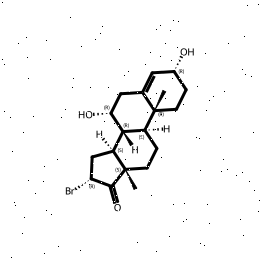 C[C@]12CC[C@@H](O)C=C1C[C@@H](O)[C@@H]1[C@@H]2CC[C@]2(C)C(=O)[C@H](Br)C[C@@H]12